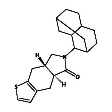 O=C1[C@H]2Cc3ccsc3C[C@@H]2CN1C1C2CCC3CCC(C2)CC31